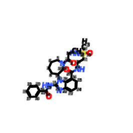 C=CC(=O)N1CCCCC(n2c(NC(=O)c3ccccc3)nc3cccc(C(=O)NCCS(C)(=N)=O)c32)C1